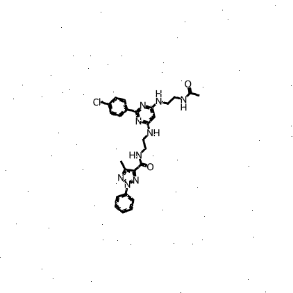 CC(=O)NCCNc1cc(NCCNC(=O)c2nn(-c3ccccc3)nc2C)nc(-c2ccc(Cl)cc2)n1